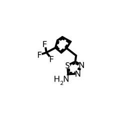 Nc1nnc(Cc2cccc(C(F)(F)F)c2)s1